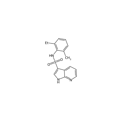 CCc1cccc(C)c1NS(=O)(=O)c1c[nH]c2ncccc12